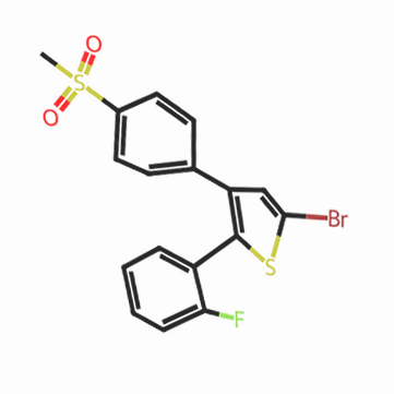 CS(=O)(=O)c1ccc(-c2cc(Br)sc2-c2ccccc2F)cc1